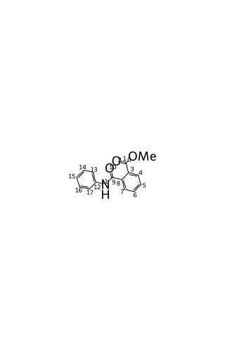 COC(=O)c1ccccc1C(=O)Nc1ccccc1